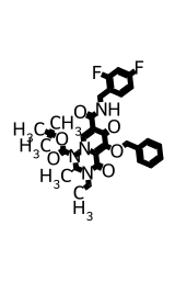 CCN1C(=O)c2c(OCc3ccccc3)c(=O)c(C(=O)NCc3ccc(F)cc3F)cn2N(C(=O)OC(C)(C)C)[C@H]1C